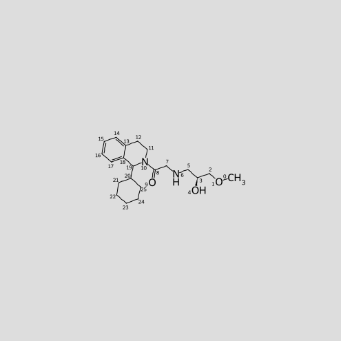 COC[C@@H](O)CNCC(=O)N1CCc2ccccc2C1C1CCCCC1